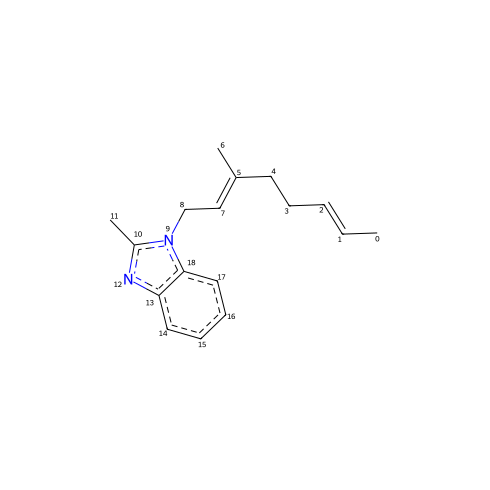 CC=CCC/C(C)=C/Cn1c(C)nc2ccccc21